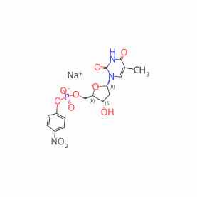 Cc1cn([C@H]2C[C@H](O)[C@@H](COP(=O)([O-])Oc3ccc([N+](=O)[O-])cc3)O2)c(=O)[nH]c1=O.[Na+]